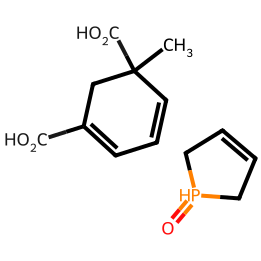 CC1(C(=O)O)C=CC=C(C(=O)O)C1.O=[PH]1CC=CC1